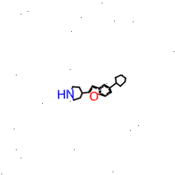 c1cc2oc(C3CCNCC3)cc2cc1C1CCCCC1